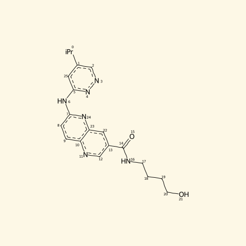 CC(C)c1cnnc(Nc2ccc3ncc(C(=O)NCCCCO)cc3n2)c1